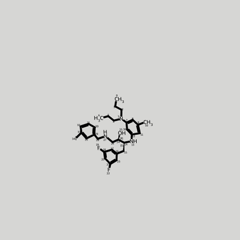 CCCN(CCC)c1cc(C)cc(N[C@@H](Cc2cc(F)cc(F)c2)[C@H](O)CNCc2cccc(I)c2)c1